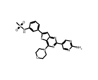 CS(=O)(=O)Nc1cccc(-c2cc3nc(-c4cnc(N)nc4)nc(N4CCOCC4)c3s2)c1